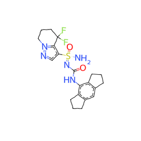 N[S@](=O)(=NC(=O)Nc1c2c(cc3c1CCC3)CCC2)c1cnn2c1C(F)(F)CCC2